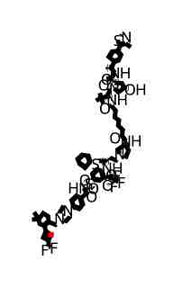 Cc1ncsc1-c1ccc([C@H](C)NC(=O)[C@@H]2C[C@@H](O)CN2C(=O)[C@@H](NC(=O)CCCCCC(=O)N[C@@H]2CCN(CC[C@H](CSc3ccccc3)Nc3ccc(S(=O)(=O)NC(=O)c4ccc(N5CCN(CC6=C(C78CC(C(F)F)(C7)C8)CC(C)(C)CC6)CC5)cc4)cc3S(=O)(=O)C(F)(F)F)C2)C(C)(C)C)cc1